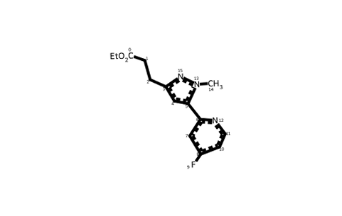 CCOC(=O)CCc1cc(-c2cc(F)ccn2)n(C)n1